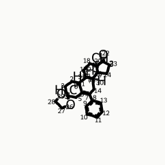 C[C@]12CCC3(CC1=C(c1ccccc1)C[C@@H]1[C@@H]2CC[C@]2(C)C(=O)CC[C@@H]12)OCCO3